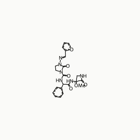 CO[C@@]1(NC(=O)C(NC(=O)N2CCN(N=Cc3ccco3)C2=O)c2ccccc2)CNC1=O